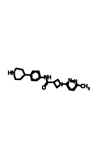 Cc1ccc(N2CC(C(=O)Nc3ccc(C4CCNCC4)cc3)C2)nn1